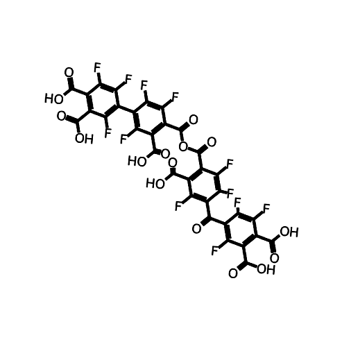 O=C(c1c(F)c(F)c(C(=O)O)c(C(=O)O)c1F)c1c(F)c(F)c(C(=O)OC(=O)c2c(F)c(F)c(-c3c(F)c(F)c(C(=O)O)c(C(=O)O)c3F)c(F)c2C(=O)O)c(C(=O)O)c1F